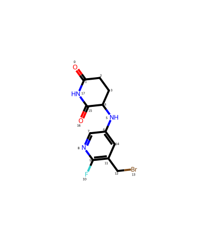 O=C1CCC(Nc2cnc(F)c(CBr)c2)C(=O)N1